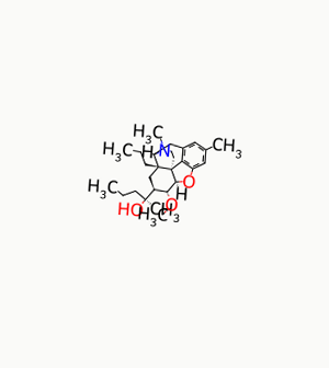 CCC[C@]12C[C@H]([C@@](C)(O)CCC)[C@@H](OC)[C@@H]3Oc4cc(C)cc5c4[C@@]31CCN(C)[C@@H]2C5